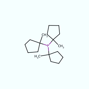 CC1(P(C2(C)CCCC2)C2(C)CCCC2)CCCC1